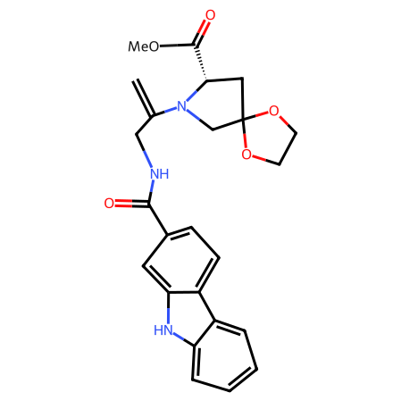 C=C(CNC(=O)c1ccc2c(c1)[nH]c1ccccc12)N1CC2(C[C@H]1C(=O)OC)OCCO2